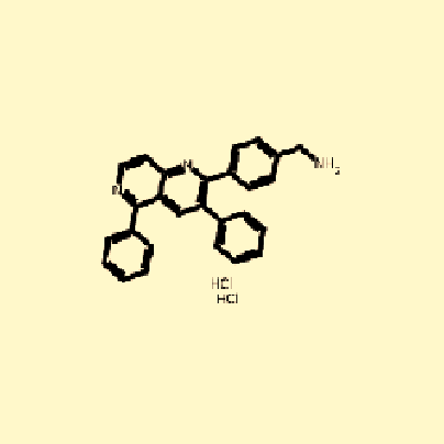 Cl.Cl.NCc1ccc(-c2nc3ccnc(-c4ccccc4)c3cc2-c2ccccc2)cc1